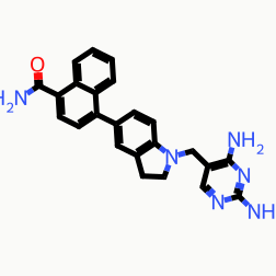 NC(=O)c1ccc(-c2ccc3c(c2)CCN3Cc2cnc(N)nc2N)c2ccccc12